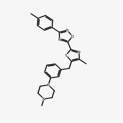 Cc1ccc(-c2noc(-c3nc(C)c(Cc4cccc(N5CCN(C)CC5)c4)s3)n2)cc1